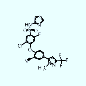 Cn1nc(C(F)(F)F)cc1-c1ccc(Oc2cc(F)c(S(=O)(=O)Nc3cscn3)cc2Cl)c(C#N)c1